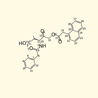 O=C(O)C[C@H](NC(=O)Cc1ccccc1)C(=O)COC(=O)Cc1cccc2ccccc12